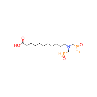 O=[PH2]CN(CCCCCCCCCCC(=O)O)C[PH2]=O